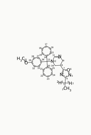 [2H]C([2H])(C)c1noc(C2CN=CN(C(c3ccccc3)(c3ccccc3)c3ccc(OC)cc3)C2)n1